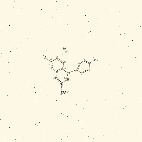 CSC(=N)NC(c1ccc(Cl)cc1)c1ccc(Cl)cc1.I